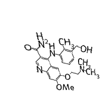 COc1cc2ncc(C(N)=O)c(Nc3cccc(CO)c3C)c2cc1OCCN(C)C